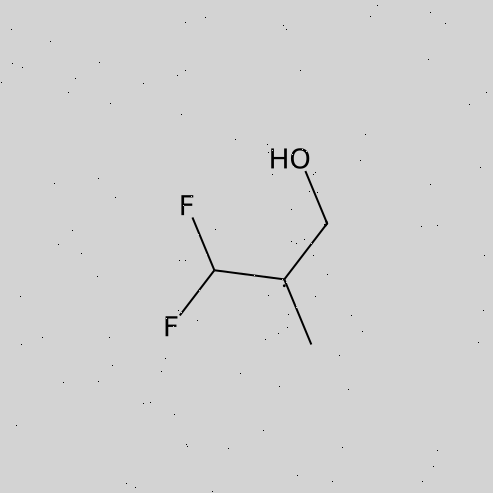 C[C](CO)C(F)F